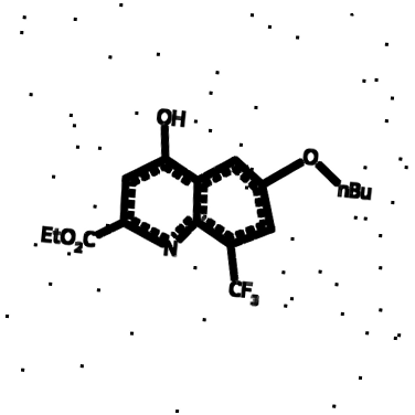 CCCCOc1cc(C(F)(F)F)c2nc(C(=O)OCC)cc(O)c2c1